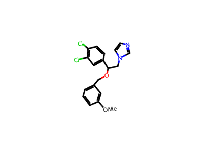 COc1cccc(COC(Cn2ccnc2)c2ccc(Cl)c(Cl)c2)c1